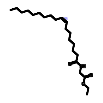 CCCCCCCCC/C=C\CCCCCCC(=O)NCC(=O)OCC